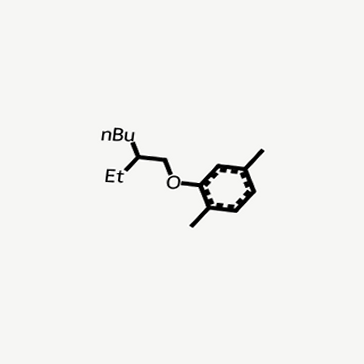 CCCCC(CC)COc1cc(C)ccc1C